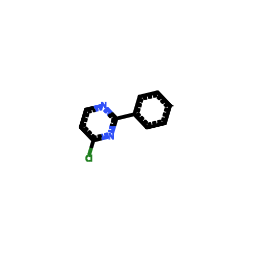 Clc1ccnc(-c2cc[c]cc2)n1